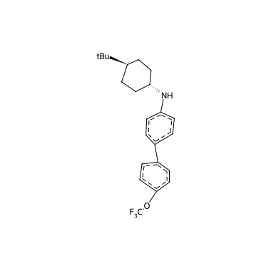 CC(C)(C)[C@H]1CC[C@H](Nc2ccc(-c3ccc(OC(F)(F)F)cc3)cc2)CC1